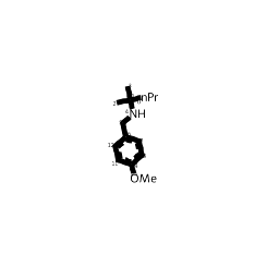 CCCC(C)(C)NCc1ccc(OC)cc1